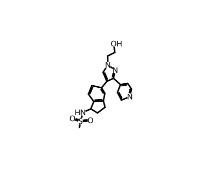 CS(=O)(=O)NC1CCc2cc(-c3cn(CCO)nc3-c3ccncc3)ccc21